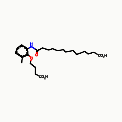 Cc1cccc(NC(=O)CCCCCCCCCCCC(=O)O)c1OCCCC(=O)O